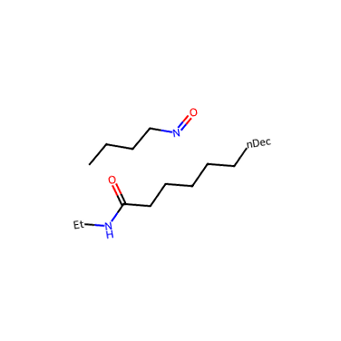 CCCCCCCCCCCCCCCC(=O)NCC.CCCCN=O